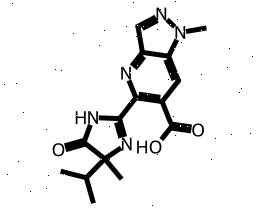 CC(C)C1(C)N=C(c2nc3cnn(C)c3cc2C(=O)O)NC1=O